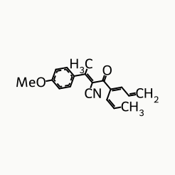 C=C/C=C(\C=C/C)C(=O)/C(C#N)=C(\C)c1ccc(OC)cc1